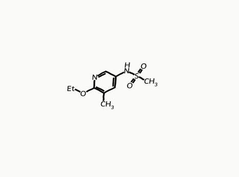 CCOc1ncc(NS(C)(=O)=O)cc1C